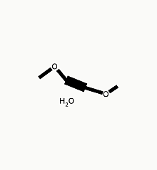 COC#COC.O